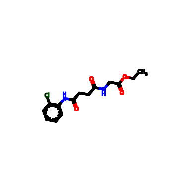 CCOC(=O)CNC(=O)CCC(=O)Nc1ccccc1Cl